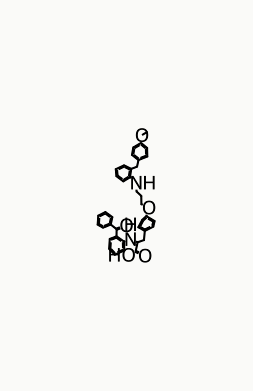 COc1ccc(Cc2ccccc2NCCCOc2ccc(CC(Nc3ccccc3C(=O)c3ccccc3)C(=O)O)cc2)cc1